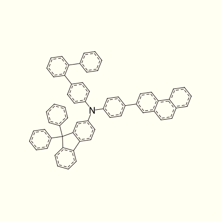 c1ccc(-c2ccccc2-c2ccc(N(c3ccc(-c4ccc5c(ccc6ccccc65)c4)cc3)c3ccc4c(c3)C(c3ccccc3)(c3ccccc3)c3ccccc3-4)cc2)cc1